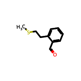 CSCCc1ccccc1C=O